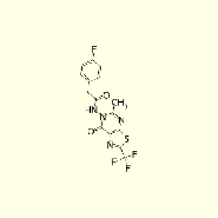 Cc1nc2sc(C(F)(F)F)nc2c(=O)n1NC(=O)Cc1ccc(F)cc1